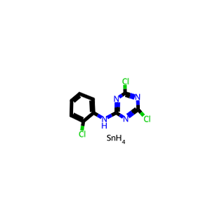 Clc1nc(Cl)nc(Nc2ccccc2Cl)n1.[SnH4]